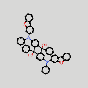 OC1(c2ccccc2)c2ccc(N(c3ccccc3)c3ccc4c(c3)oc3ccccc34)cc2C(O)(c2ccccc2)c2ccc(N(c3ccccc3)c3ccc4c(c3)oc3ccccc34)cc21